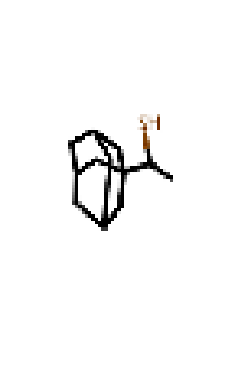 CC(S)C12CC3CC(CC(C3)C1)C2